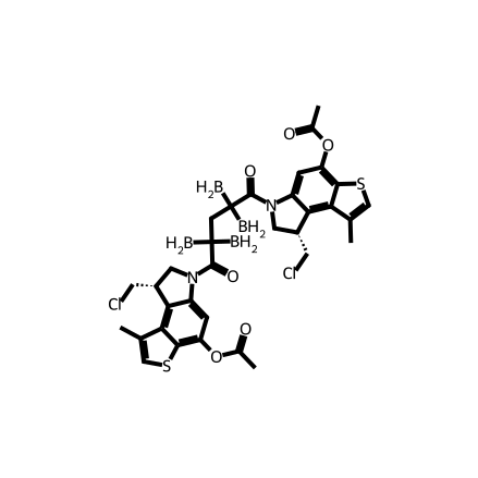 BC(B)(CC(B)(B)C(=O)N1C[C@@H](CCl)c2c1cc(OC(C)=O)c1scc(C)c21)C(=O)N1C[C@@H](CCl)c2c1cc(OC(C)=O)c1scc(C)c21